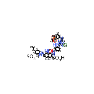 C=CCc1ccc(/N=N/c2ccc3cc(S(=O)(=O)O)c(/N=N/c4cccc(Nc5nc(Cl)nc(N(C)c6cccc(S(=O)(=O)C=C)c6)n5)c4)c(O)c3c2N)c(S(=O)(=O)O)c1